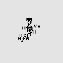 COc1nc(NC2CCC(C(=O)N(C)C)CC2)nc2[nH]cc(-c3ccc4nccnc4c3)c12